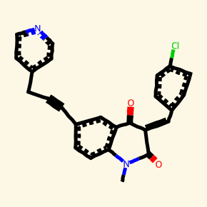 CN1C(=O)/C(=C/c2ccc(Cl)cc2)C(=O)c2cc(C#CCc3ccncc3)ccc21